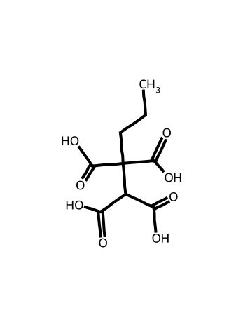 CCCC(C(=O)O)(C(=O)O)C(C(=O)O)C(=O)O